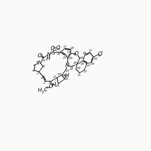 CO[C@H]1/C=C/C2CCN(C2)C(=O)NS(=O)(=O)c2ccc3c(c2)N(C[C@@H]2CC[C@H]21)C[C@@]1(CCCc2cc(Cl)ccc21)CO3